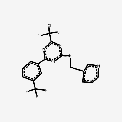 FC(F)(F)c1cccc(-c2nc(NCc3cccnc3)nc(C(Cl)(Cl)Cl)n2)c1